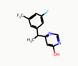 CC(c1cc(F)cc(C(F)(F)F)c1)c1cc(O)ncn1